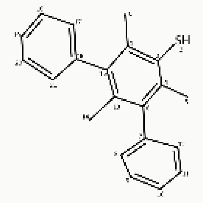 Cc1c(S)c(C)c(-c2ccccc2)c(C)c1-c1ccccc1